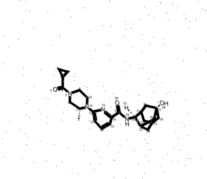 C[C@@H]1CN(C(=O)C2CC2)CCN1c1cccc(C(=O)N[C@H]2C3CC4CC2C[C@](O)(C4)C3)n1